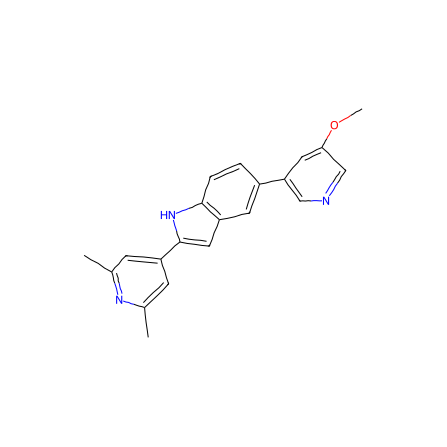 COc1cncc(-c2ccc3[nH]c(-c4cc(C)nc(C)c4)cc3c2)c1